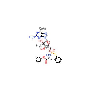 COc1nc(N)nc2c1ncn2[C@@H]1O[C@H](COP2(=O)N[C@H](C(=O)OC3CCCC3)Cc3ccccc3S2)[C@@H](O)[C@@]1(C)O